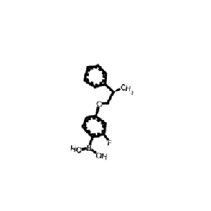 C[C@@H](COc1ccc(B(O)O)c(F)c1)c1ccccc1